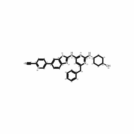 N#Cc1ccc(-c2ccc3nc(Nc4cc(Cc5ccccc5)nc(N[C@H]5CC[C@H](O)CC5)n4)sc3c2)cn1